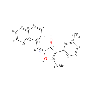 CNC1=C(c2cccc(C(F)(F)F)c2)C(=O)/C(=C\c2cccc3ccccc23)O1